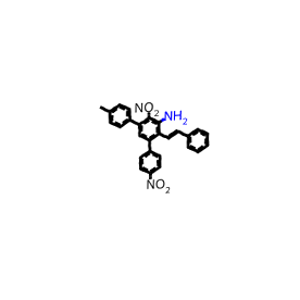 Cc1ccc(-c2cc(-c3ccc([N+](=O)[O-])cc3)c(C=Cc3ccccc3)c(N)c2[N+](=O)[O-])cc1